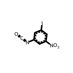 O=C=Nc1cc(I)cc([N+](=O)[O-])c1